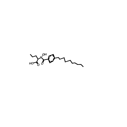 CCCCCCCCCCc1ccc(C(=O)N(O)C(CCC)C(=O)O)cc1